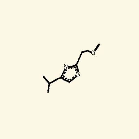 COCc1nc(C(C)C)cs1